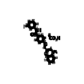 CC(=O)O.CN1C[C@@H](COc2ccc(C(=O)Nc3cccc(F)c3)cc2)Oc2ccccc21